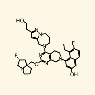 CCc1c(F)ccc2cc(O)cc(N3CCc4c(nc(OC[C@@]56CCCN5C[C@H](F)C6)nc4N4CCCn5nc(CCO)cc5C4)C3)c12